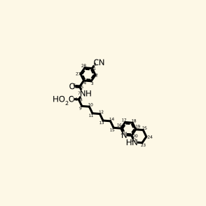 N#Cc1ccc(C(=O)NC(CCCCCCCc2ccc3c(n2)NCCC3)C(=O)O)cc1